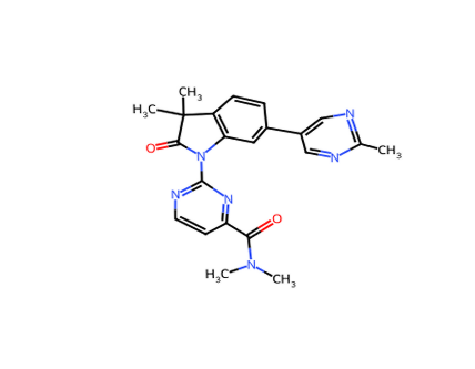 Cc1ncc(-c2ccc3c(c2)N(c2nccc(C(=O)N(C)C)n2)C(=O)C3(C)C)cn1